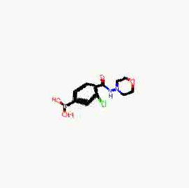 O=C(NN1CCOCC1)c1ccc(B(O)O)cc1Cl